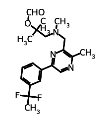 Cc1ncc(-c2cccc(C(C)(F)F)c2)nc1CN(C)CC(C)(C)OC=O